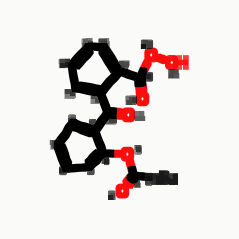 CCCCC(=O)Oc1ccccc1C(=O)c1ccccc1C(=O)OO